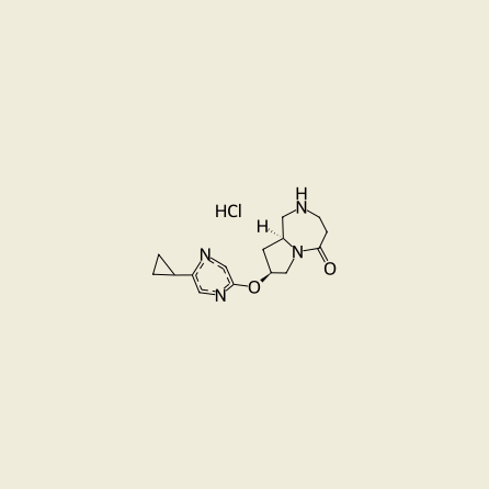 Cl.O=C1CCNC[C@@H]2C[C@H](Oc3cnc(C4CC4)cn3)CN12